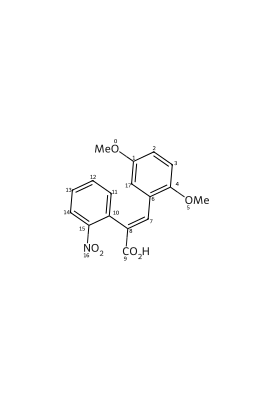 COc1ccc(OC)c(C=C(C(=O)O)c2ccccc2[N+](=O)[O-])c1